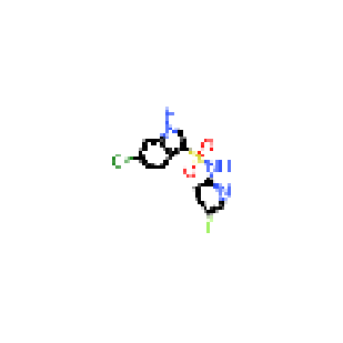 O=S(=O)(Nc1ccc(F)cn1)c1c[nH]c2cc(Cl)ccc12